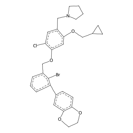 Clc1cc(CN2CCCC2)c(OCC2CC2)cc1OCc1cccc(-c2ccc3c(c2)OCCO3)c1Br